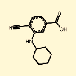 N#Cc1ccc(C(=O)O)cc1NC1CCCCC1